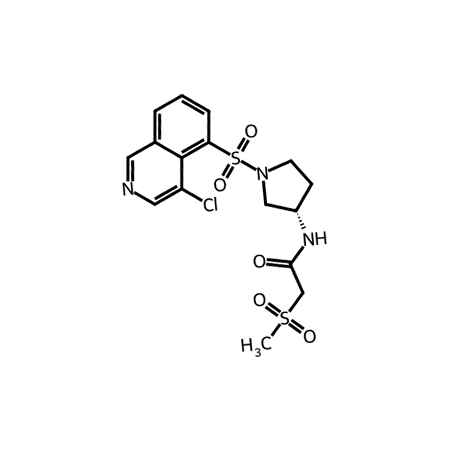 CS(=O)(=O)CC(=O)N[C@H]1CCN(S(=O)(=O)c2cccc3cncc(Cl)c23)C1